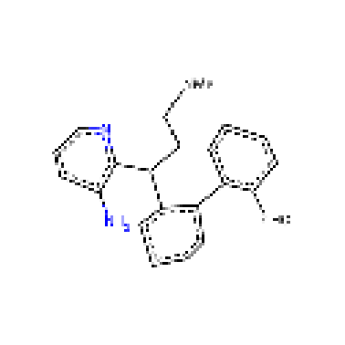 CNCCC(c1ccccc1-c1ccccc1C=O)c1ncccc1N